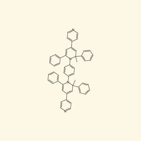 CC1(c2ccccc2)C=C(c2ccncc2)C=C(c2ccccc2)N1c1ccc(N2C(c3ccccc3)=CC(c3ccncc3)=CC2(C)c2ccccc2)cc1